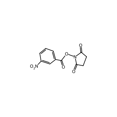 O=C(ON1C(=O)CCC1=O)c1cccc([N+](=O)[O-])c1